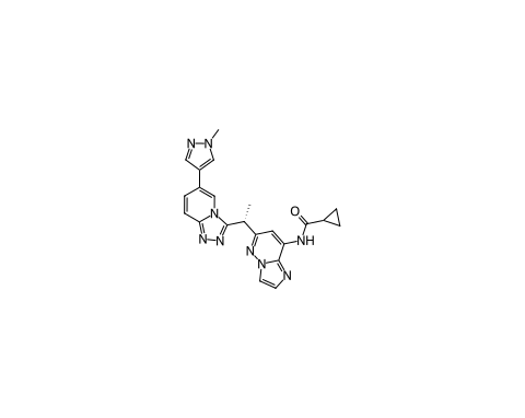 C[C@H](c1cc(NC(=O)C2CC2)c2nccn2n1)c1nnc2ccc(-c3cnn(C)c3)cn12